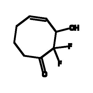 O=C1CCC/C=C\C(O)C1(F)F